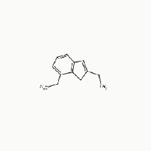 CCC1=Cc2cccc(CC)c2C1